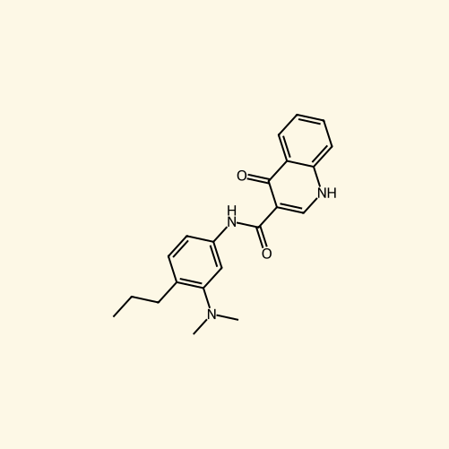 CCCc1ccc(NC(=O)c2c[nH]c3ccccc3c2=O)cc1N(C)C